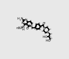 CCCCNc1nc(N)nc2ccn(Cc3ccc(C(=O)N4CCN(CC(O)CO)CC4)cc3)c(=O)c12